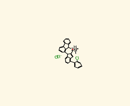 CCC1=Cc2c(-c3ccccc3Cl)cccc2C1c1cccc2c1[CH]([Zr+2][SiH](C)C)c1ccccc1-2.[Cl-].[Cl-]